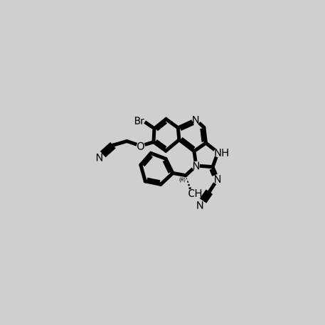 C[C@H](c1ccccc1)n1c(=NC#N)[nH]c2cnc3cc(Br)c(OCC#N)cc3c21